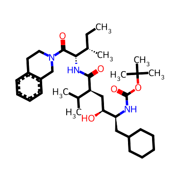 CC[C@H](C)[C@H](NC(=O)[C@@H](C[C@H](O)[C@H](CC1CCCCC1)NC(=O)OC(C)(C)C)C(C)C)C(=O)N1CCc2ccccc2C1